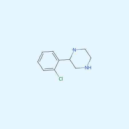 Clc1ccccc1C1CNCC[N]1